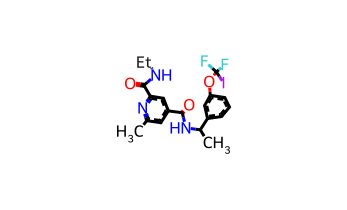 CCNC(=O)c1cc(C(=O)NC(C)c2cccc(OC(F)(F)I)c2)cc(C)n1